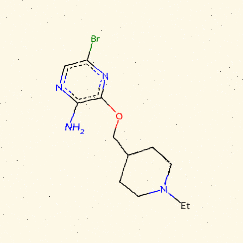 CCN1CCC(COc2nc(Br)cnc2N)CC1